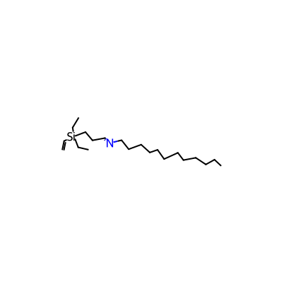 C=C[Si](CC)(CC)CCC=NCCCCCCCCCCCC